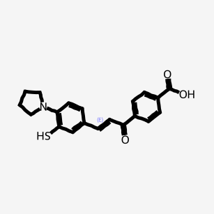 O=C(O)c1ccc(C(=O)/C=C/c2ccc(N3CCCC3)c(S)c2)cc1